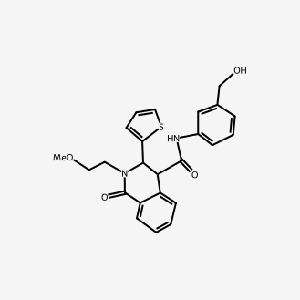 COCCN1C(=O)c2ccccc2C(C(=O)Nc2cccc(CO)c2)C1c1cccs1